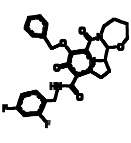 O=C(NCc1ccc(F)cc1F)c1c2n3c(c(OCc4ccccc4)c1=O)C(=O)N1CCCCOC1C3CC2